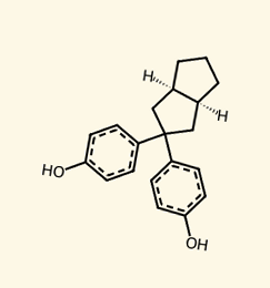 Oc1ccc(C2(c3ccc(O)cc3)C[C@H]3CCC[C@H]3C2)cc1